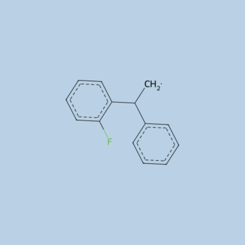 [CH2]C(c1ccccc1)c1ccccc1F